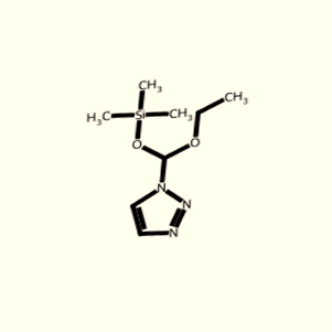 CCOC(O[Si](C)(C)C)n1ccnn1